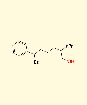 CCCC(CO)CCCC(CC)c1ccccc1